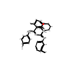 Cc1cccc(/N=C(\N=C(\Nc2ccc(F)cc2)c2c(C)cccc2C)N2CCCCC2C)c1